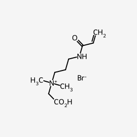 C=CC(=O)NCCC[N+](C)(C)CC(=O)O.[Br-]